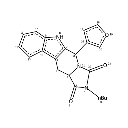 CCCCN1C(=O)C2Cc3c([nH]c4ccccc34)C(c3ccoc3)N2C1=O